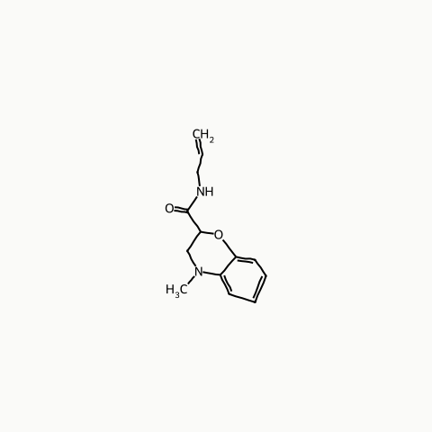 C=CCNC(=O)C1CN(C)c2ccccc2O1